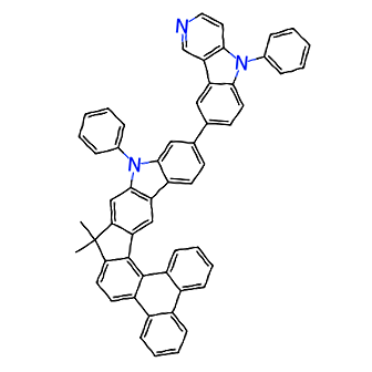 CC1(C)c2cc3c(cc2-c2c1ccc1c4ccccc4c4ccccc4c21)c1ccc(-c2ccc4c(c2)c2cnccc2n4-c2ccccc2)cc1n3-c1ccccc1